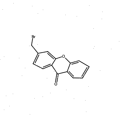 O=c1c2ccccc2oc2cc(CBr)ccc12